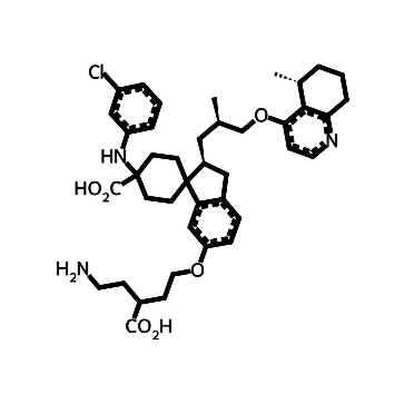 C[C@@H](COc1ccnc2c1[C@H](C)CCC2)C[C@H]1Cc2ccc(OCCC(CCN)C(=O)O)cc2C12CCC(Nc1cccc(Cl)c1)(C(=O)O)CC2